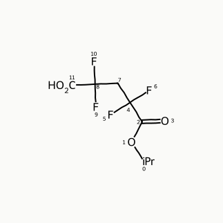 CC(C)OC(=O)C(F)(F)CC(F)(F)C(=O)O